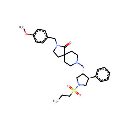 CCCS(=O)(=O)N1C[C@H](CN2CCC3(CC2)CCN(Cc2ccc(OC)cc2)C3=O)[C@@H](c2ccccc2)C1